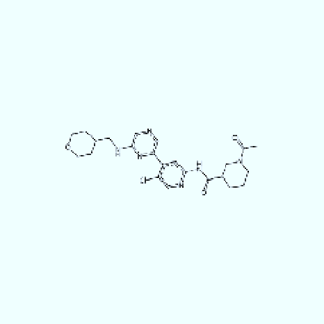 CC(=O)N1CCCC(C(=O)Nc2cc(-c3cncc(NCC4CCOCC4)n3)c(Cl)cn2)C1